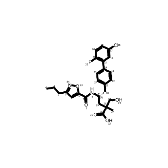 CCCc1cc(C(=O)N[C@H](Cc2ccc(-c3cc(Cl)ccc3F)cc2)CC(C)(CO)C(=O)O)on1